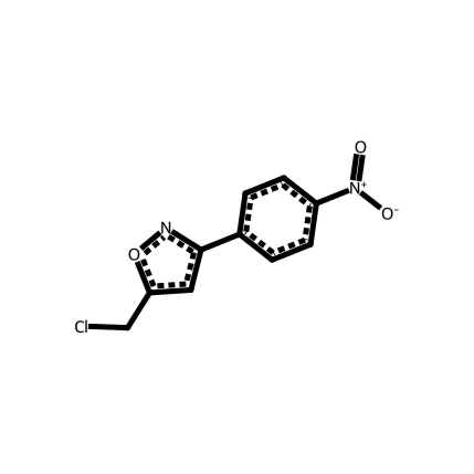 O=[N+]([O-])c1ccc(-c2cc(CCl)on2)cc1